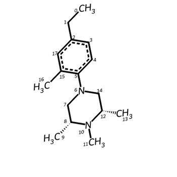 CCc1ccc(N2C[C@@H](C)N(C)[C@@H](C)C2)c(C)c1